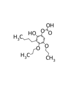 CCCCc1c(O)c(OC(=O)O)cc(OCCC)c1OCCC